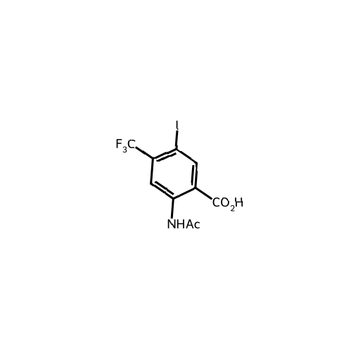 CC(=O)Nc1cc(C(F)(F)F)c(I)cc1C(=O)O